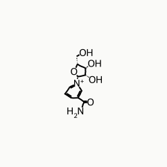 NC(=O)c1ccc[n+]([C@@H]2O[C@H](CO)[C@H](O)[C@@H]2O)c1